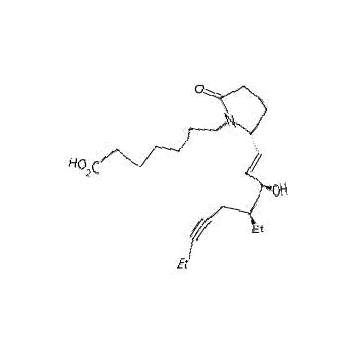 CCC#CC[C@H](CC)[C@H](O)/C=C/[C@H]1CCC(=O)N1CCCCCCC(=O)O